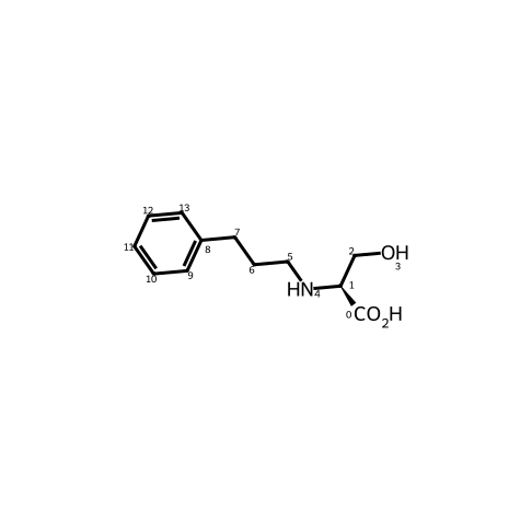 O=C(O)[C@H](CO)NCCCc1ccccc1